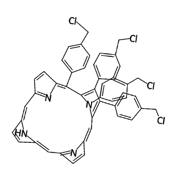 ClCc1ccc(-c2c(-c3ccc(CCl)cc3)c3c(-c4ccc(CCl)cc4)c4nc(cc5ccc(cc6nc(cc2n3-c2ccc(CCl)cc2)C=C6)[nH]5)C=C4)cc1